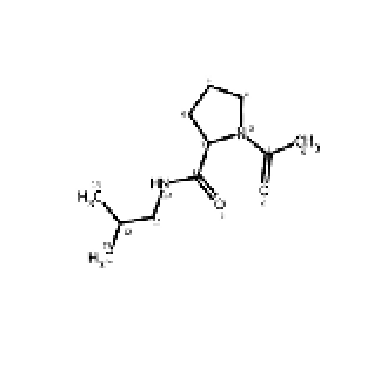 CC(=O)N1CCCC1C(=O)NCC(C)C